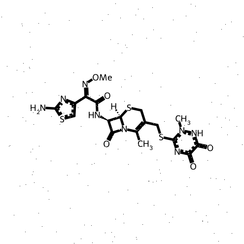 CO/N=C(\C(=O)N[C@@H]1C(=O)N2C(C)=C(CSc3nc(=O)c(=O)[nH]n3C)CS[C@H]12)c1csc(N)n1